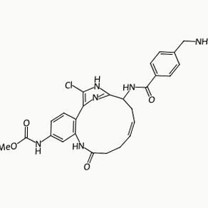 COC(=O)Nc1ccc2c(c1)NC(=O)CCC=CCC(NC(=O)c1ccc(CN)cc1)c1nc-2c(Cl)[nH]1